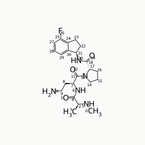 CN[C@@H](C)C(=O)N[C@@H](CCN)C(=O)N1CCC[C@H]1C(=O)N[C@@H]1CCc2c(F)cccc21